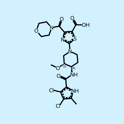 CO[C@H]1CN(c2nc(C(=O)N3CCOCC3)c(C(=O)O)s2)CC[C@H]1NC(=O)c1[nH]c(C)c(Cl)c1Cl